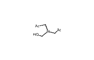 CC(=O)CN(CO)CC(C)=O